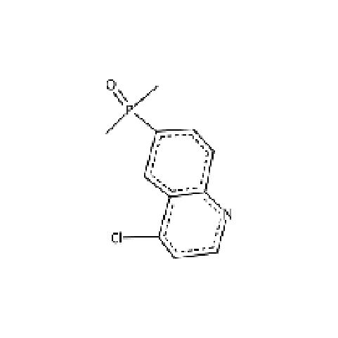 CP(C)(=O)c1ccc2nccc(Cl)c2c1